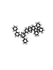 c1ccc(-c2cccc(-c3nc(-c4ccccc4)cc(-c4ccc5c(c4)Oc4c(ccc6c4-c4ccccc4C6(c4ccccc4)c4ccccc4)O5)n3)c2)cc1